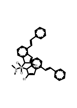 CCC1=Cc2c(C=Cc3ccccc3)cccc2[CH]1[Zr]([Cl])([Cl])([CH]1C(CC)=Cc2c(C=Cc3ccccc3)cccc21)[SiH](C)C